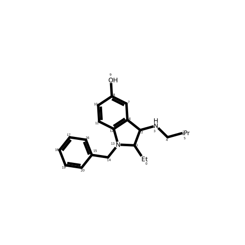 CCC1C(NCC(C)C)c2cc(O)ccc2N1Cc1ccccc1